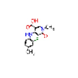 Cc1ccc(Nc2cc(=O)n(C)cc2C(=O)O)c(F)c1